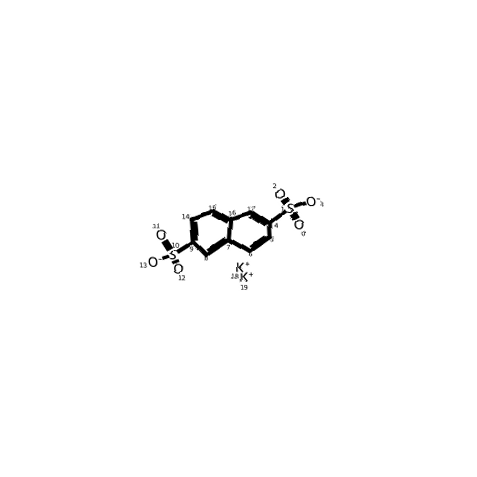 O=S(=O)([O-])c1ccc2cc(S(=O)(=O)[O-])ccc2c1.[K+].[K+]